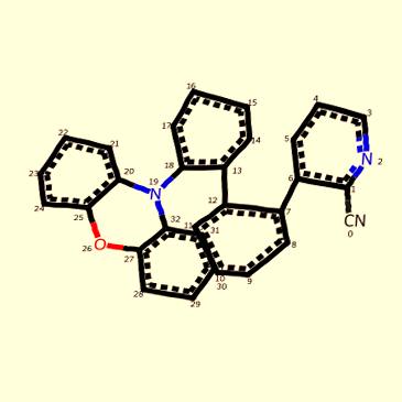 N#Cc1ncccc1-c1ccccc1-c1ccccc1N1c2ccccc2Oc2ccccc21